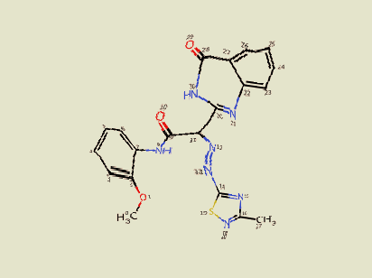 COc1ccccc1NC(=O)C(N=Nc1nc(C)ns1)c1nc2ccccc2c(=O)[nH]1